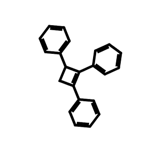 c1ccc(C2=C(c3ccccc3)C(c3ccccc3)C2)cc1